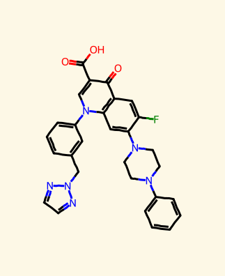 O=C(O)c1cn(-c2cccc(Cn3nccn3)c2)c2cc(N3CCN(c4ccccc4)CC3)c(F)cc2c1=O